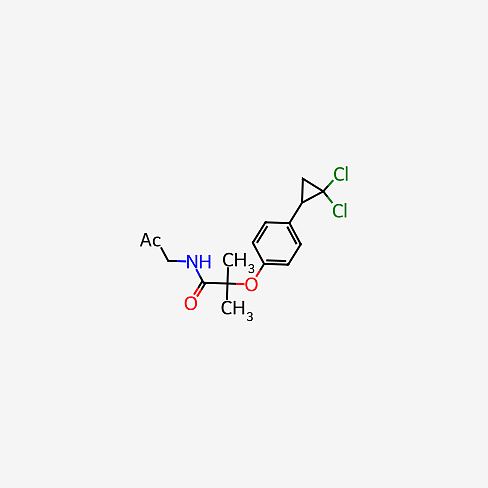 CC(=O)CNC(=O)C(C)(C)Oc1ccc(C2CC2(Cl)Cl)cc1